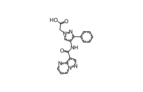 O=C(O)Cn1cc(NC(=O)c2cnn3cccnc23)c(-c2ccccc2)n1